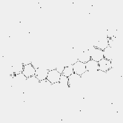 COC(=O)c1ccccc1OC1CCN(C(=O)C2(F)CCN(Cc3ccnc(N)c3)CC2)CC1